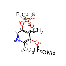 COCOc1c(C(=O)O)ncc(OS(=O)(=O)C(F)(F)F)c1C